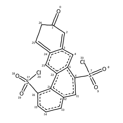 O=C1C=c2cc3c(S(=O)(=O)Cl)cc4cccc(S(=O)(=O)Cl)c4c3cc2=CC1